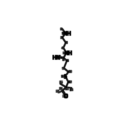 CNCCCNC(=N)CCCSCC(C)(C)C(C)=O